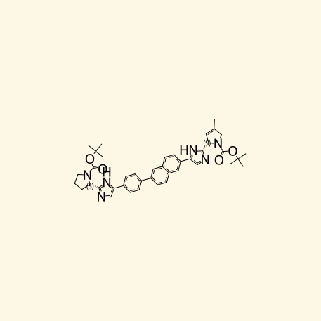 CC1=C[C@@H](c2ncc(-c3ccc4cc(-c5ccc(-c6cnc([C@@H]7CCCN7C(=O)OC(C)(C)C)[nH]6)cc5)ccc4c3)[nH]2)N(C(=O)OC(C)(C)C)C1